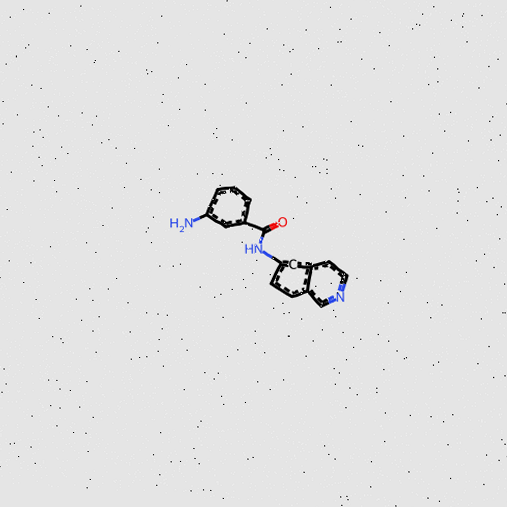 Nc1cccc(C(=O)Nc2ccc3cnccc3c2)c1